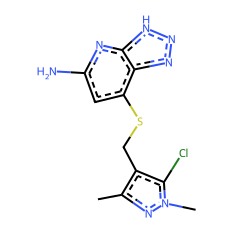 Cc1nn(C)c(Cl)c1CSc1cc(N)nc2[nH]nnc12